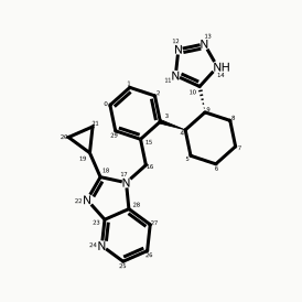 c1ccc([C@@H]2CCCC[C@H]2c2nnn[nH]2)c(Cn2c(C3CC3)nc3ncccc32)c1